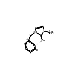 CCCCN1C=CN(Cc2ccccc2)C1C(C)C